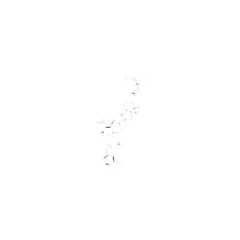 CC(=O)O[C@H](CNCc1cccc(Cl)c1)[C@@]12CC[C@]3(C)[C@H](CC[C@@H]4[C@@]5(C)CC[C@H](OC(=O)CC(C)(C)C(=O)O)C6(C)C[C@]65CC[C@]43C)C1=C(C(C)C)C(=O)C2